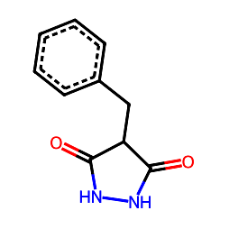 O=C1NNC(=O)C1Cc1ccccc1